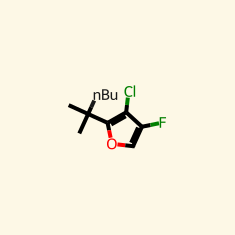 CCCCC(C)(C)c1occ(F)c1Cl